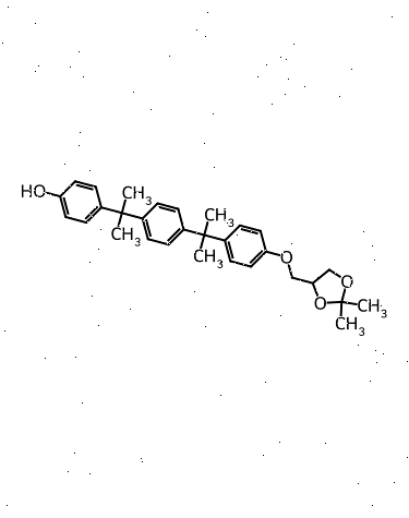 CC1(C)OCC(COc2ccc(C(C)(C)c3ccc(C(C)(C)c4ccc(O)cc4)cc3)cc2)O1